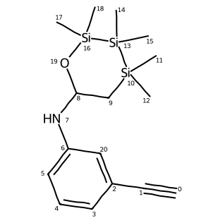 C#Cc1cccc(NC2C[Si](C)(C)[Si](C)(C)[Si](C)(C)O2)c1